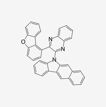 c1ccc2cc3c(cc2c1)c1ccccc1n3-c1nc2ccccc2nc1-c1cccc2oc3ccccc3c12